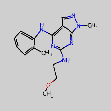 COCCNc1nc(Nc2ccccc2C)c2cnn(C)c2n1